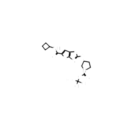 CC(C)(C)OC(=O)N1CC[C@@H](Oc2nc3sc(C(=O)NC4CCC4)cc3s2)C1